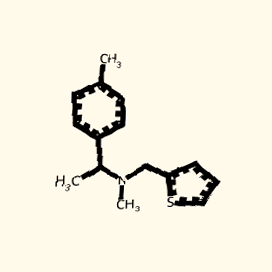 Cc1ccc(C(C)N(C)Cc2cccs2)cc1